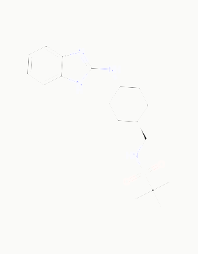 CC(C)(C)S(=O)(=O)NC[C@H]1CC[C@H](Nc2nc3ccccc3[nH]2)CC1